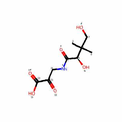 CC(C)(CO)[C@@H](O)C(=O)NCC(=O)C(=O)O